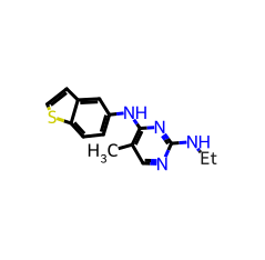 CCNc1ncc(C)c(Nc2ccc3sccc3c2)n1